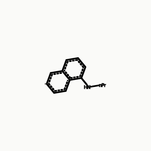 CCCNc1cccc2c[c]ccc12